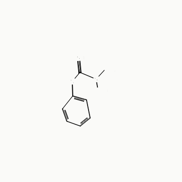 N=C(Nc1ccccc1)N(C(=O)O)C(=O)O